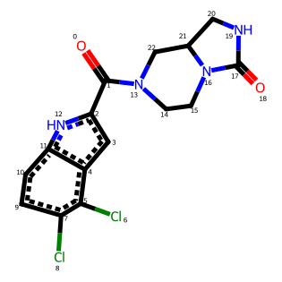 O=C(c1cc2c(Cl)c(Cl)ccc2[nH]1)N1CCN2C(=O)NCC2C1